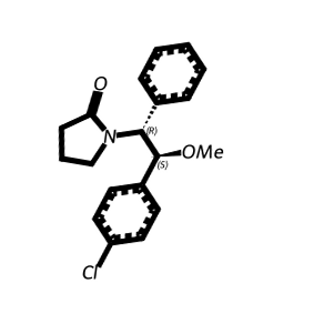 CO[C@@H](c1ccc(Cl)cc1)[C@@H](c1ccccc1)N1CCCC1=O